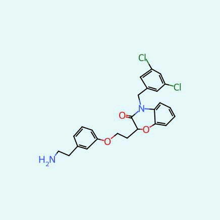 NCCc1cccc(OCCC2Oc3ccccc3N(Cc3cc(Cl)cc(Cl)c3)C2=O)c1